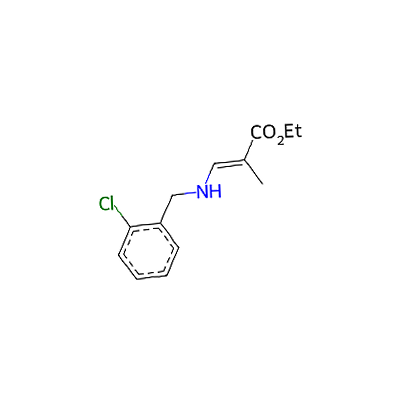 CCOC(=O)C(C)=CNCc1ccccc1Cl